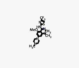 C=Nc1cc(N2CCN(C)CC2)cc(OC)c1/C(=N\C)Nc1nc(C(F)(F)F)cs1